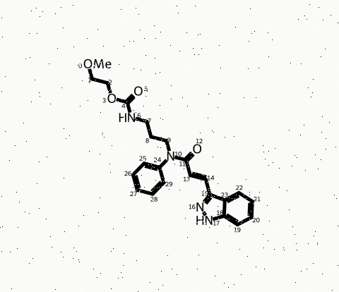 COCCOC(=O)NCCCN(C(=O)/C=C/c1n[nH]c2ccccc12)c1ccccc1